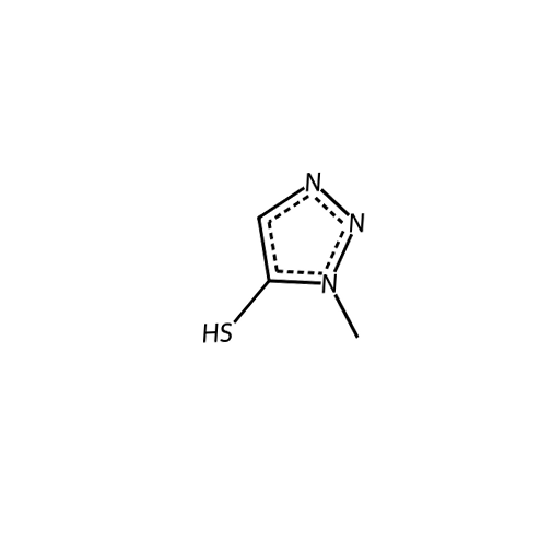 Cn1nncc1S